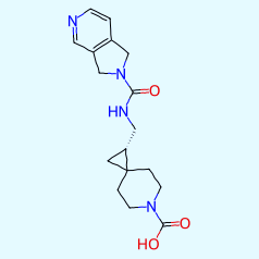 O=C(O)N1CCC2(CC1)C[C@@H]2CNC(=O)N1Cc2ccncc2C1